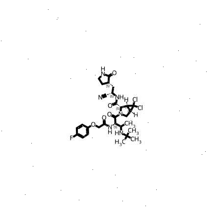 CC(NC(C)(C)C)[C@H](NC(=O)COc1ccc(F)cc1)C(=O)N1C[C@H]2[C@@H]([C@H]1C(=O)N[C@H](C#N)C[C@@H]1CCNC1=O)C2(Cl)Cl